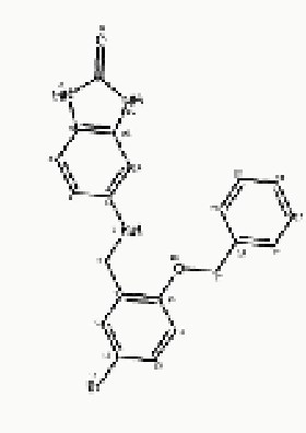 O=c1[nH]c2ccc(NCc3cc(Br)ccc3OCc3ccccc3)cc2[nH]1